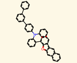 c1ccc(-c2cccc(-c3ccc(N(c4ccccc4)c4ccccc4-c4cccc5c4oc4cc6ccccc6cc45)cc3)c2)cc1